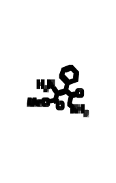 COC(=O)C(N)=C(C(=O)CN)c1ccccc1